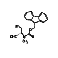 CC(C)C[C@@H](C=O)N(C)C(=O)OCC1c2ccccc2-c2ccccc21